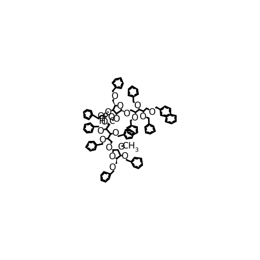 COC1C(OCc2ccccc2)[C@@H](COCc2ccccc2)O[C@H]1OCC(OCc1ccccc1)C(OCc1ccccc1)C(COP(=O)(OCc1ccccc1)OC1C(OC)[C@H](OCC(OCc2ccccc2)C(OCc2ccccc2)C(COCc2ccc3ccccc3c2)OCc2ccccc2)O[C@@H]1COCc1ccccc1)OCc1ccccc1